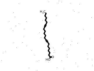 CCCCCCC#CCCCCCC#CCCCCCCC(=O)O